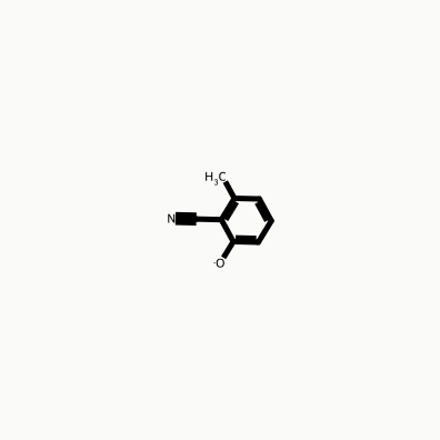 Cc1cccc([O])c1C#N